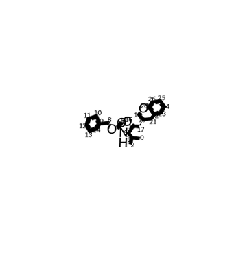 CC(C)[C@H](NC(=O)OCc1ccccc1)C(=O)C[C@H](C=O)Cc1ccccc1